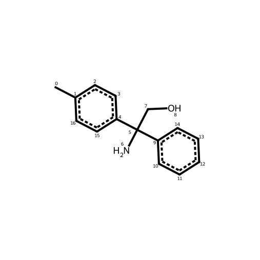 Cc1ccc(C(N)(CO)c2ccccc2)cc1